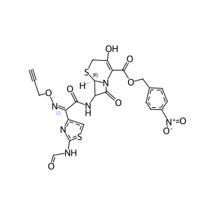 C#CCO/N=C(\C(=O)NC1C(=O)N2C(C(=O)OCc3ccc([N+](=O)[O-])cc3)=C(O)CS[C@H]12)c1csc(NC=O)n1